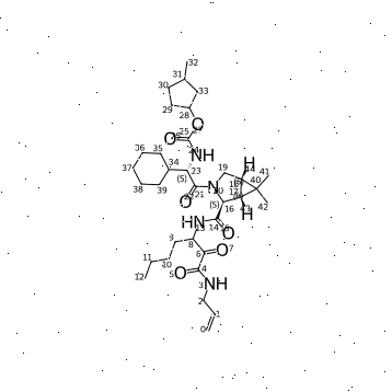 C=CCNC(=O)C(=O)C(CCCC)NC(=O)[C@@H]1[C@@H]2[C@H](CN1C(=O)[C@@H](NC(=O)OC1CCC(C)C1)C1CCCCC1)C2(C)C